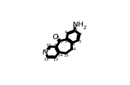 Nc1ccc2c(c1)C(=O)c1cnccc1CC2